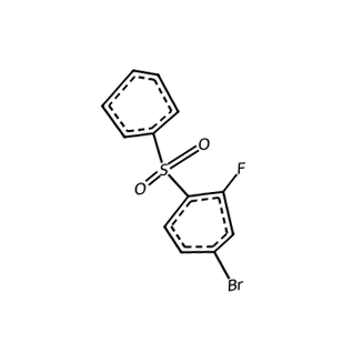 O=S(=O)(c1ccccc1)c1ccc(Br)cc1F